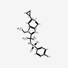 CCn1c(C(C)(C)NS(=O)(=O)c2ccc(F)cc2)nc2cnc(C3CC3)cc21